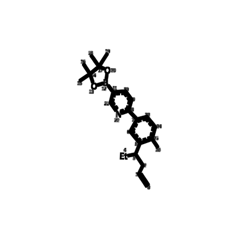 C=CCC(CC)c1cc(-c2ccc(B3OC(C)(C)C(C)(C)O3)cn2)ccc1C